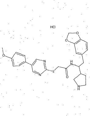 COc1ccc(-c2cnc(SCC(=O)NC(Cc3ccc4c(c3)OCO4)C3CCNC3)nc2)cc1.Cl